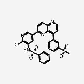 CS(=O)(=O)c1cccc(-c2ccnc3ccc(-c4cnc(Cl)c(NS(=O)(=O)c5ccccc5)c4)nc23)c1